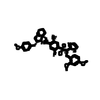 COc1ccc(C[C@@H]2CN3CCC[C@@]3(CNc3cc(F)c(S(=O)(=O)N(Cc4ccc(OC)cc4OC)c4nccs4)cc3Br)C2)cc1